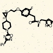 CC(C)c1noc(N2CCC([C@H]3C[C@H]3CCOc3ccc(CC(=O)N(C)Cc4ccon4)c(F)c3)CC2)n1